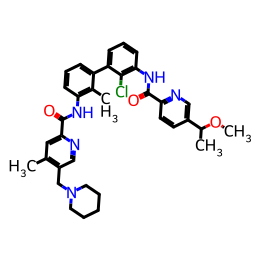 COC(C)c1ccc(C(=O)Nc2cccc(-c3cccc(NC(=O)c4cc(C)c(CN5CCCCC5)cn4)c3C)c2Cl)nc1